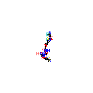 Cc1ncsc1-c1ccc(CNC(=O)[C@@H]2C[C@@H](O)CN2C(=O)C(NC(=O)CNC(=O)CCCOc2ccc(-c3ccc(N4C(=S)N(c5ccc(C#N)c(C(F)(F)F)c5)C(=O)C4(C)C)c(F)c3)cc2)C(C)(C)C)cc1